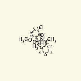 COc1ccc(Cl)cc1C1(C)Sc2ccccc2C(C)[NH+]1[O-]